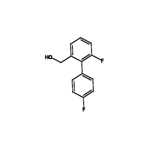 OCc1cccc(F)c1-c1ccc(F)cc1